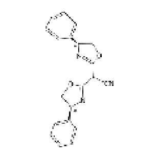 N#CC(C1=N[C@@H](c2ccccc2)CO1)C1=N[C@@H](c2ccccc2)CO1